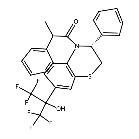 CC(C(=O)N1c2ccc(C(O)(C(F)(F)F)C(F)(F)F)cc2SC[C@H]1c1ccccc1)c1ccccc1